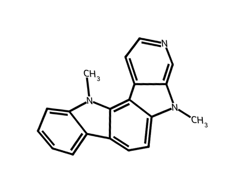 Cn1c2cnccc2c2c1ccc1c3ccccc3n(C)c12